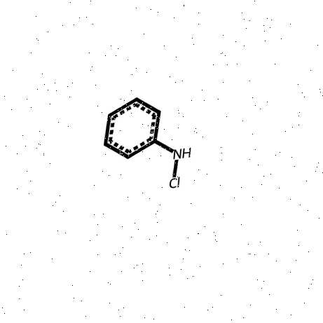 ClNc1ccccc1